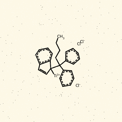 CCCCC(c1ccccc1)(c1ccccc1)[C]1([Ti+3])C=Cc2ccccc21.[Cl-].[Cl-].[Cl-]